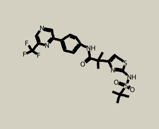 CC(C)(C(=O)Nc1ccc(-c2cncc(C(F)(F)F)n2)cc1)c1csc(NS(=O)(=O)C(C)(C)C)n1